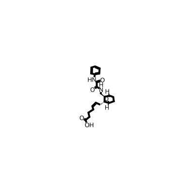 O=C(O)CCC/C=C\C[C@@H]1[C@@H](CNC(=O)C(=O)Nc2ccccc2)[C@@H]2CC[C@H]1O2